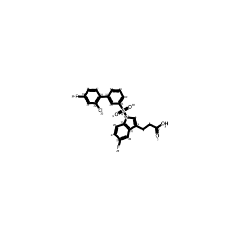 O=C(O)CCc1cn(S(=O)(=O)c2cccc(-c3ccc(F)cc3Cl)c2)c2ccc(F)cc12